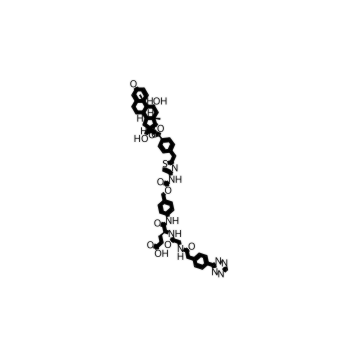 C[C@]12C=CC(=O)C=C1CC[C@@H]1[C@@H]2[C@@H](O)C[C@@]2(C)[C@H]1C[C@H]1O[C@H](c3ccc(Cc4nc(NC(=O)OCc5ccc(NC(=O)[C@H](CCC(=O)O)NC(=O)CNC(=O)Cc6ccc(-c7nncnn7)cc6)cc5)cs4)cc3)O[C@]12C(=O)CO